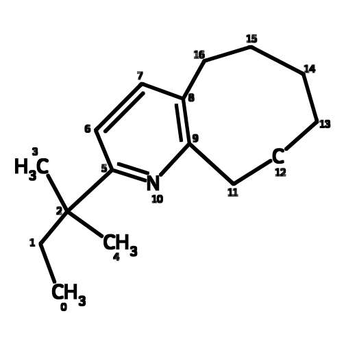 CCC(C)(C)c1ccc2c(n1)CCCCCC2